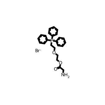 NCC(=O)OCCOCC[P+](c1ccccc1)(c1ccccc1)c1ccccc1.[Br-]